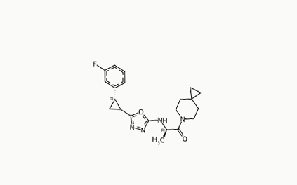 C[C@@H](Nc1nnc(C2C[C@@H]2c2cccc(F)c2)o1)C(=O)N1CCC2(CC1)CC2